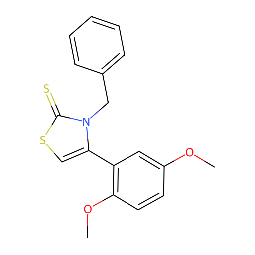 COc1ccc(OC)c(-c2csc(=S)n2Cc2ccccc2)c1